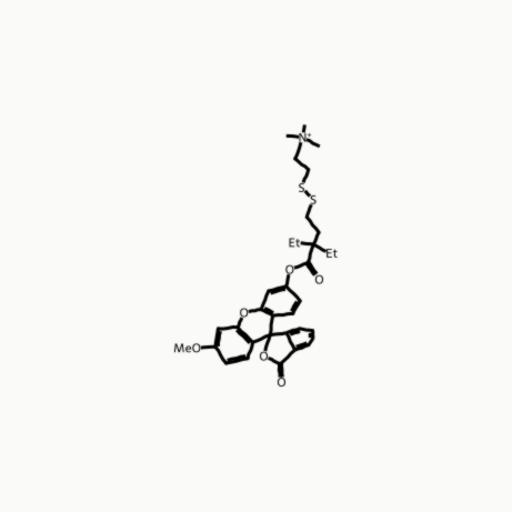 CCC(CC)(CCSSCC[N+](C)(C)C)C(=O)Oc1ccc2c(c1)Oc1cc(OC)ccc1C21OC(=O)c2ccccc21